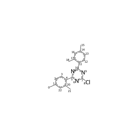 Cc1ccc(-c2nc(Cl)nc(-c3ccc(C)cc3C)n2)c(C)c1